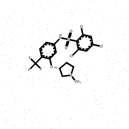 CN1CC[C@@H](Oc2cc(NS(=O)(=O)c3c(Cl)cc(Cl)cc3Cl)ccc2C(F)(F)F)C1